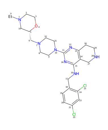 CCN1CCO[C@H](CN2CCN(c3nc4c(c(NCc5ccc(Cl)cc5Cl)n3)CNCC4)CC2)C1